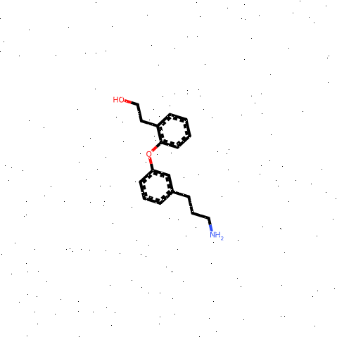 NCCCc1cccc(Oc2ccccc2CCO)c1